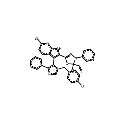 CC1(C=O)OC(c2[nH]c3cc(Cl)ccc3c2-c2c(-c3ccccc3)ncn2Cc2ccc(Cl)cc2)=NN1c1cccnc1